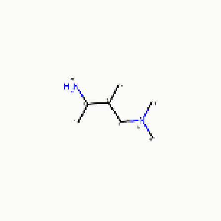 CC(N)C(C)CN(C)C